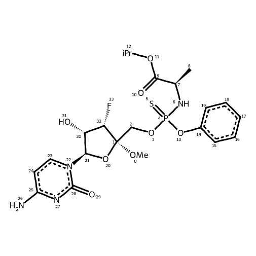 CO[C@]1(COP(=S)(N[C@H](C)C(=O)OC(C)C)Oc2ccccc2)O[C@@H](n2ccc(N)nc2=O)[C@H](O)[C@@H]1F